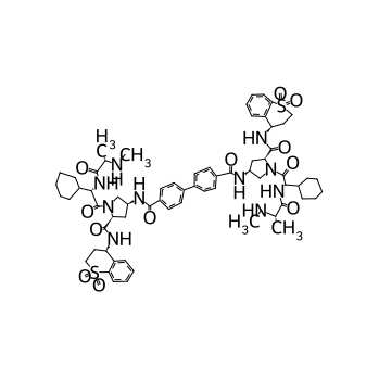 CN[C@@H](C)C(=O)N[C@H](C(=O)N1C[C@@H](NC(=O)c2ccc(-c3ccc(C(=O)N[C@H]4C[C@@H](C(=O)N[C@@H]5CCS(=O)(=O)c6ccccc65)N(C(=O)[C@@H](NC(=O)[C@H](C)NC)C5CCCCC5)C4)cc3)cc2)C[C@H]1C(=O)N[C@@H]1CCS(=O)(=O)c2ccccc21)C1CCCCC1